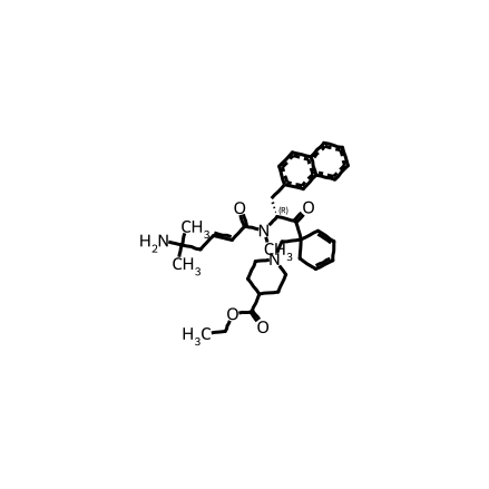 CCOC(=O)C1CCN(CC2(C(=O)[C@@H](Cc3ccc4ccccc4c3)N(C)C(=O)C=CCC(C)(C)N)C=CC=CC2)CC1